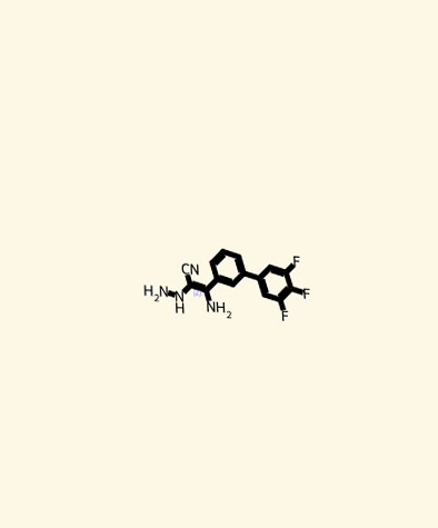 N#C/C(NN)=C(/N)c1cccc(-c2cc(F)c(F)c(F)c2)c1